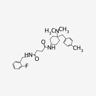 Cc1ccc(CC2(N(C)C)CCC(NC(=O)CCC(=O)NCCc3ccccc3F)CC2)cc1